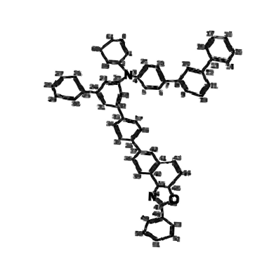 C1=CC(N(c2ccc(-c3cccc(-c4ccccc4)c3)cc2)c2cc(-c3ccccc3)cc(-c3ccc(-c4ccc5c(c4)C=CC4OC(c6ccccc6)=NC54)cc3)c2)=CCC1